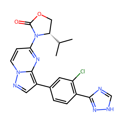 CC(C)[C@H]1COC(=O)N1c1ccn2ncc(-c3ccc(-c4nc[nH]n4)c(Cl)c3)c2n1